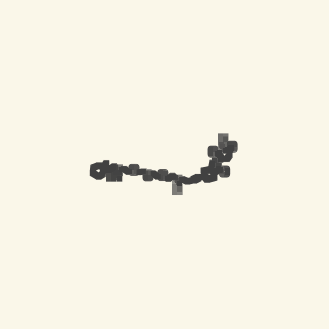 CC1(c2cn(CCOCCOCCOCCNCCC#Cc3ccc4c(c3)CN(C3CCC(=O)NC3=O)C4=O)nn2)CCCCC1